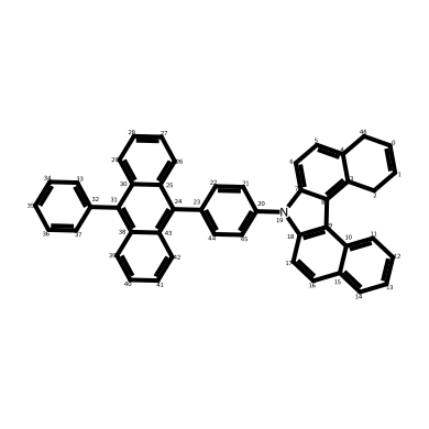 C1=CCc2c(ccc3c2c2c4ccccc4ccc2n3-c2ccc(-c3c4ccccc4c(-c4ccccc4)c4ccccc34)cc2)C1